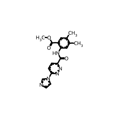 COC(=O)c1cc(C)c(C)cc1NC(=O)c1ccc(-n2ccnc2)nn1